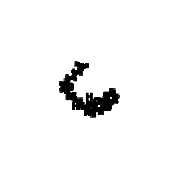 CN(C)CCCCc1ccc(CSCCNc2ncc(CC3Oc4ccccc4O3)c(=O)[nH]2)o1